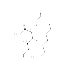 CCCCCCCCCCCCCCCC(=O)O.CCCCCCCCCCCCO[C@@H](C(N)=O)[C@@H](O)[C@H](O)[C@H](O)CO